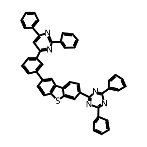 c1ccc(-c2cc(-c3cccc(-c4ccc5sc6cc(-c7nc(-c8ccccc8)nc(-c8ccccc8)n7)ccc6c5c4)c3)nc(-c3ccccc3)n2)cc1